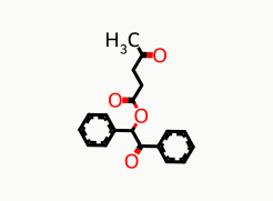 CC(=O)CCC(=O)OC(C(=O)c1ccccc1)c1ccccc1